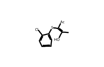 CC(=O)C(Sc1ccccc1Cl)=C(C)O